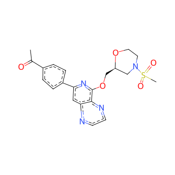 CC(=O)c1ccc(-c2cc3nccnc3c(OC[C@@H]3CN(S(C)(=O)=O)CCO3)n2)cc1